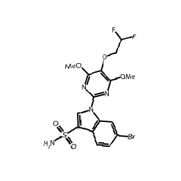 COc1nc(-n2cc(S(N)(=O)=O)c3ccc(Br)cc32)nc(OC)c1OCC(F)F